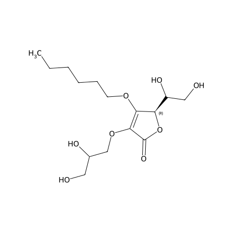 CCCCCCOC1=C(OCC(O)CO)C(=O)O[C@@H]1C(O)CO